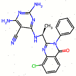 C[C@H](Nc1nc(N)nc(N)c1C#N)c1nc2c(Cl)cccc2c(=O)n1-c1ccccc1